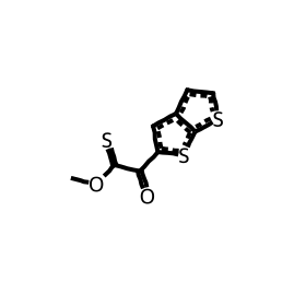 COC(=S)C(=O)c1cc2ccsc2s1